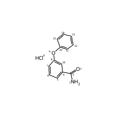 Cl.NC(=O)c1cccc(Oc2ccccc2)c1